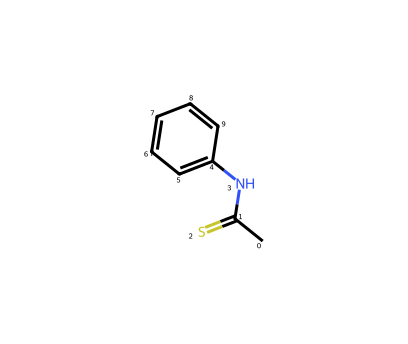 CC(=S)Nc1c[c]ccc1